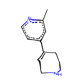 Cc1cc(C2=CCNCC2)ccn1